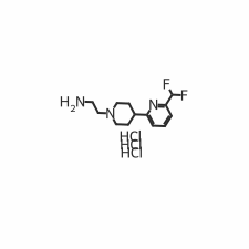 Cl.Cl.Cl.NCCN1CCC(c2cccc(C(F)F)n2)CC1